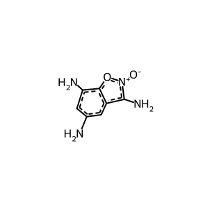 Nc1cc(N)c2o[n+]([O-])c(N)c2c1